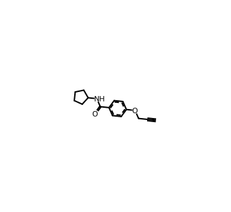 C#CCOc1ccc(C(=O)NC2CCCC2)cc1